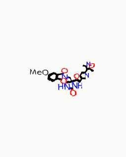 COc1ccc2c(c1)C(=O)N(C[C@@]1(c3cc4cnc(-c5c(C)noc5C)cc4o3)NC(=O)NC1=O)C2